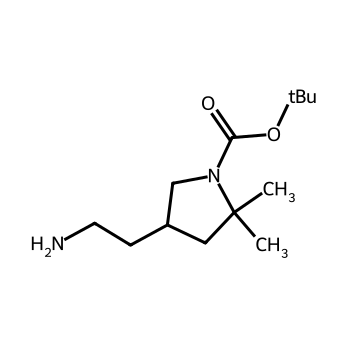 CC(C)(C)OC(=O)N1CC(CCN)CC1(C)C